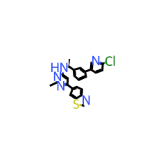 Cc1nc(N[C@@H](C)c2cccc(-c3ccc(Cl)nc3)c2)cc(-c2ccc3ncsc3c2)n1